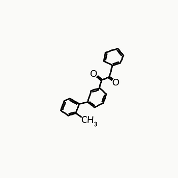 Cc1ccccc1-c1cccc(C(=O)C(=O)c2ccccc2)c1